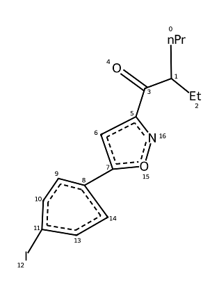 CCCC(CC)C(=O)c1cc(-c2ccc(I)cc2)on1